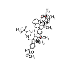 CC[C@]12C=CCN3CC[C@@]4(c5cc([C@@]6(C(=O)OC)C[C@H]7CC(C(C)(F)F)CN(Cc8c6[nH]c6ccc(NS(C)(=O)=O)cc86)C7)c(OC)cc5N(C)[C@H]4[C@@](O)(C(=O)OC)[C@@H]1OC(C)=O)[C@@H]32